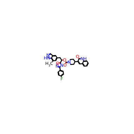 Cc1cc(CC(OC(=O)N2CCC(c3cc4ccccc4[nH]c3=O)CC2)c2nc(-c3ccc(F)cc3)no2)cc2cn[nH]c12